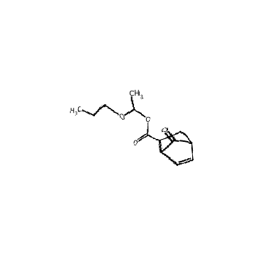 CCCOC(C)OC(=O)C1CC2C=CC1C2=O